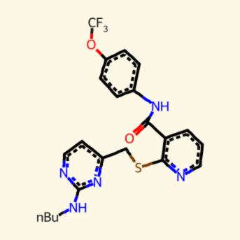 CCCCNc1nccc(CSc2ncccc2C(=O)Nc2ccc(OC(F)(F)F)cc2)n1